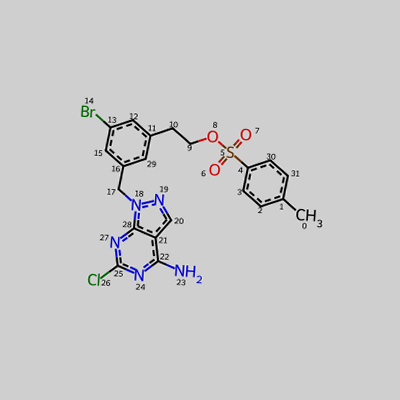 Cc1ccc(S(=O)(=O)OCCc2cc(Br)cc(Cn3ncc4c(N)nc(Cl)nc43)c2)cc1